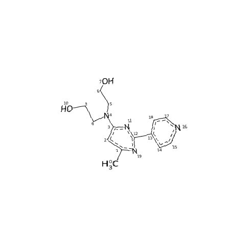 Cc1cc(N(CCO)CCO)nc(-c2ccncc2)n1